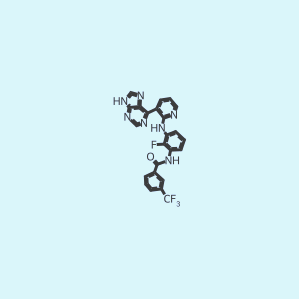 O=C(Nc1cccc(Nc2ncccc2-c2ncnc3[nH]cnc23)c1F)c1cccc(C(F)(F)F)c1